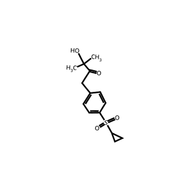 CC(C)(O)C(=O)Cc1ccc(S(=O)(=O)C2CC2)cc1